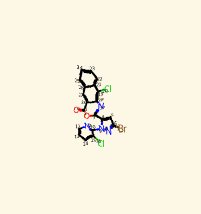 O=c1oc(-c2cc(Br)nn2-c2ncccc2Cl)nc2c(Cl)c3ccccc3cc12